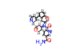 NC(=O)c1ccc(C(=O)N(C2CCOCC2)[C@@H]2COc3cccc(-c4ccncc4)c3C2)nc1